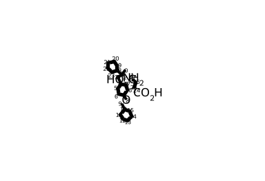 CC(N)(Cc1ccc(OCc2ccccc2)cc1)c1ccccc1.O=C(O)C=CC(=O)O